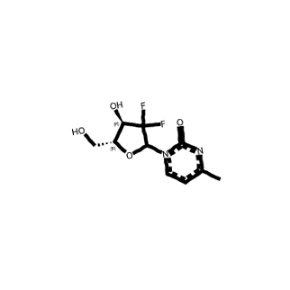 Cc1ccn(C2O[C@H](CO)[C@@H](O)C2(F)F)c(=O)n1